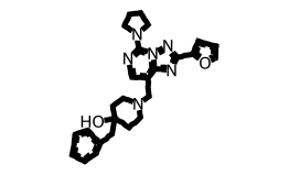 OC1(Cc2ccccc2)CCN(Cc2cnc(N3CCCC3)n3nc(-c4ccco4)nc23)CC1